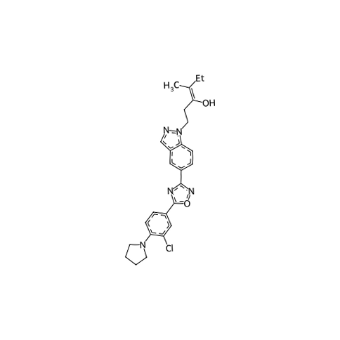 CC/C(C)=C(\O)CCn1ncc2cc(-c3noc(-c4ccc(N5CCCC5)c(Cl)c4)n3)ccc21